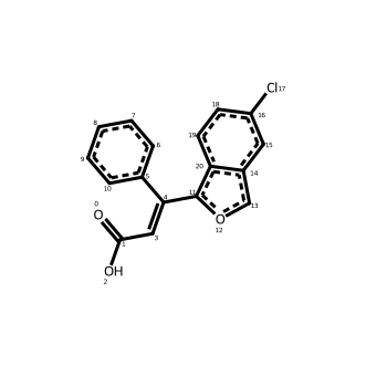 O=C(O)C=C(c1ccccc1)c1occ2cc(Cl)ccc12